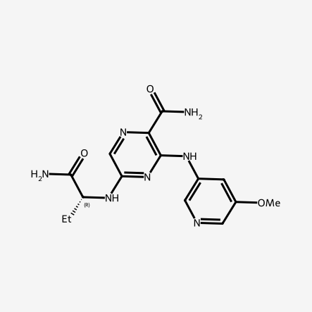 CC[C@@H](Nc1cnc(C(N)=O)c(Nc2cncc(OC)c2)n1)C(N)=O